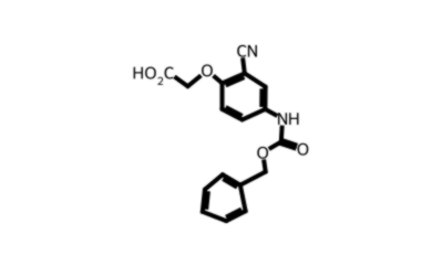 N#Cc1cc(NC(=O)OCc2ccccc2)ccc1OCC(=O)O